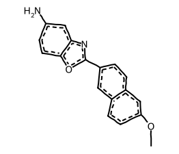 COc1ccc2cc(-c3nc4cc(N)ccc4o3)ccc2c1